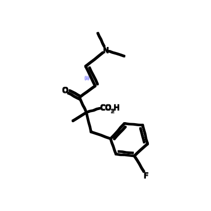 CN(C)/C=C/C(=O)C(C)(Cc1cccc(F)c1)C(=O)O